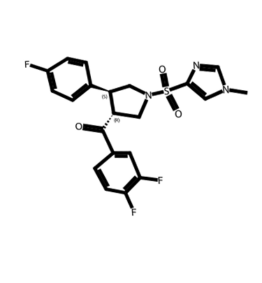 Cn1cnc(S(=O)(=O)N2C[C@H](C(=O)c3ccc(F)c(F)c3)[C@@H](c3ccc(F)cc3)C2)c1